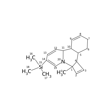 CC12C=CC1C1CCC=CC1C1C=CC([Si](C)(C)C)=CN12